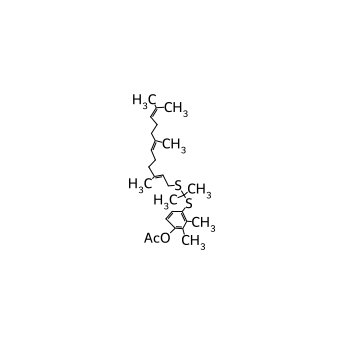 CC(=O)Oc1ccc(SC(C)(C)SC/C=C(\C)CC/C=C(\C)CCC=C(C)C)c(C)c1C